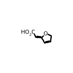 O=C(O)C=C1C=CCO1